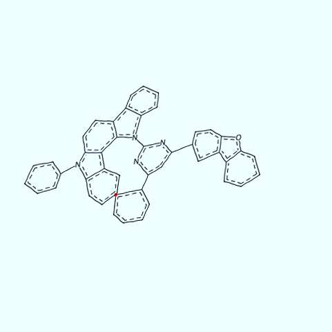 c1ccc(-c2cc(-c3ccc4oc5ccccc5c4c3)nc(-n3c4ccccc4c4ccc5c(c6ccccc6n5-c5ccccc5)c43)n2)cc1